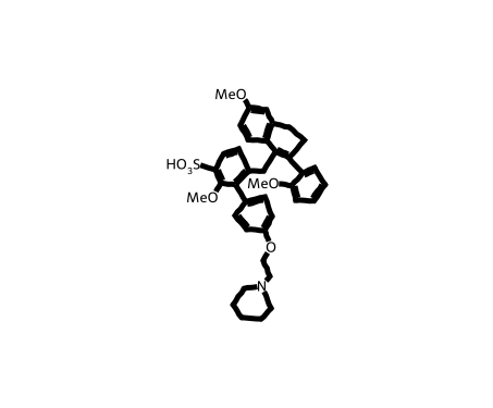 COc1ccc2c(c1)CCC(c1ccccc1OC)=C2Cc1ccc(S(=O)(=O)O)c(OC)c1-c1ccc(OCCN2CCCCC2)cc1